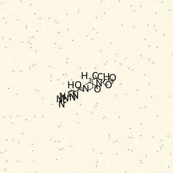 CC1(C)CC2(CCN(C[C@@H](O)c3ccc(-n4cnnn4)nn3)CC2)C(=O)N1C1=CC(=O)OC1